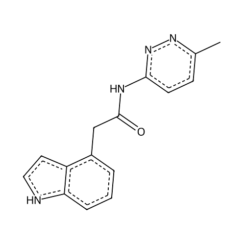 Cc1ccc(NC(=O)Cc2cccc3[nH]ccc23)nn1